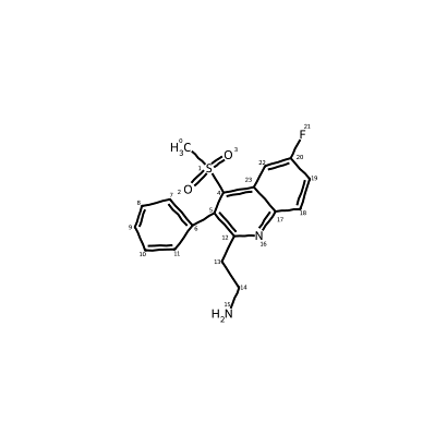 CS(=O)(=O)c1c(-c2ccccc2)c(CCN)nc2ccc(F)cc12